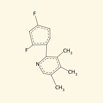 Cc1cnc(-c2ccc(F)cc2F)c(C)c1C